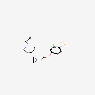 CS(=O)(=O)c1ccc(OCC[C@@H]2C[C@@H]2C2CCN(CC(F)(F)C(F)(F)F)CC2)cc1F